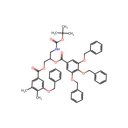 Cc1cc(C(=O)OCC(CNC(=O)OC(C)(C)C)OC(=O)c2cc(OCc3ccccc3)c(OCc3ccccc3)c(OCc3ccccc3)c2)cc(OCc2ccccc2)c1C